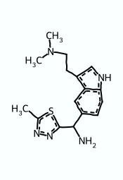 Cc1nnc(C(N)c2ccc3[nH]cc(CCN(C)C)c3c2)s1